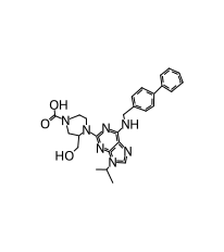 CC(C)n1cnc2c(NCc3ccc(-c4ccccc4)cc3)nc(N3CCN(C(=O)O)CC3CO)nc21